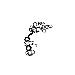 COC(=O)C1CN(C(=O)OC(C)(C)C)CCN1C(=O)C=Cc1ccc(Sc2ccc3c(c2)OCCO3)c(C(F)(F)F)c1